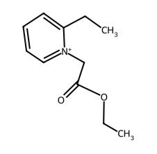 CCOC(=O)C[n+]1ccccc1CC